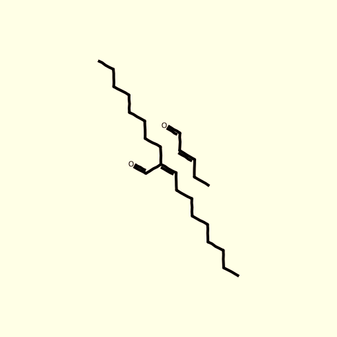 CCC=CC=O.CCCCCCCCC=C(C=O)CCCCCCCC